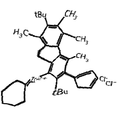 Cc1c(C)c(C(C)(C)C)c(C)c2c1-c1c(C)c(C3=CC=CC3)c(C(C)(C)C)[c]([Zr+2]=[C]3CCCCC3)c1C2.[Cl-].[Cl-]